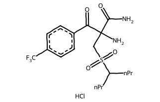 CCCC(CCC)S(=O)(=O)CC(N)(C(N)=O)C(=O)c1ccc(C(F)(F)F)cc1.Cl